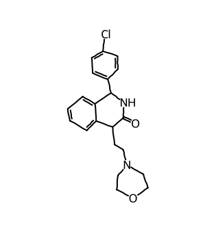 O=C1NC(c2ccc(Cl)cc2)c2ccccc2C1CCN1CCOCC1